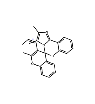 C/C=C\C1=C(C)Oc2ccccc2C12Oc1ccccc1-c1nc(C)c(C)n12